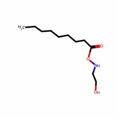 CCCCCCCCC(=O)ONCCO